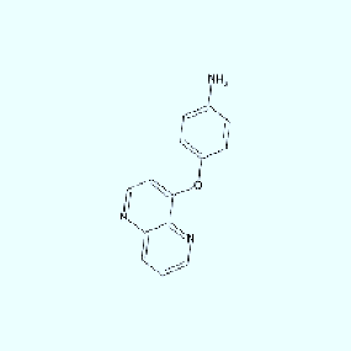 Nc1ccc(Oc2ccnc3cccnc23)cc1